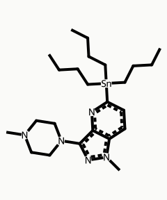 CCC[CH2][Sn]([CH2]CCC)([CH2]CCC)[c]1ccc2c(n1)c(N1CCN(C)CC1)nn2C